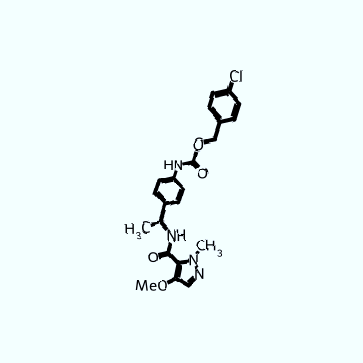 COc1cnn(C)c1C(=O)N[C@@H](C)c1ccc(NC(=O)OCc2ccc(Cl)cc2)cc1